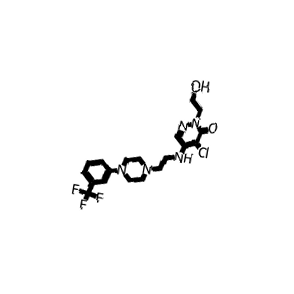 O=c1c(Cl)c(NCCN2CCN(c3cccc(C(F)(F)F)c3)CC2)cnn1CCO